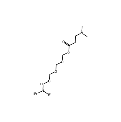 CC(C)N(POCOCOCSC(=O)CCN(C)C)C(C)C